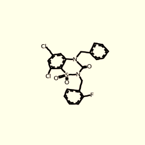 O=C1N(Cc2ccccc2)c2cc(Cl)cc(Cl)c2S(=O)(=O)N1Cc1ccccc1F